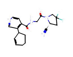 N#C[C@@H]1CC(F)(F)CN1C(=O)CNC(=O)c1ccncc1C1C=CCCC1